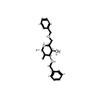 CC1[C@H](C)OC(COCc2ccccc2)[C@@H](O)[C@H]1OCc1ccccc1